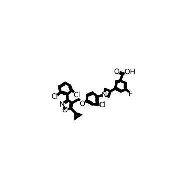 O=C(O)c1cc(F)cc(C2CN(c3ccc(OCc4c(-c5c(Cl)cccc5Cl)noc4C4CC4)cc3Cl)C2)c1